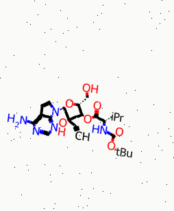 C#C[C@@]1(O)[C@H](OC(=O)[C@@H](NC(=O)OC(C)(C)C)C(C)C)[C@@H](CO)O[C@H]1n1ccc2c(N)ncnc21